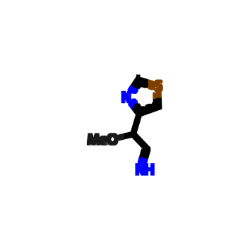 COC(C=N)c1cs[c]n1